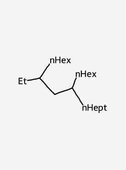 CCCCCCCC(CCCCCC)CC(CC)CCCCCC